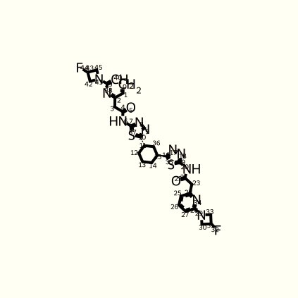 C=C/C(CC(=O)Nc1nnc([C@H]2CCC[C@H](c3nnc(NC(=O)Cc4cccc(N5CC(F)C5)n4)s3)C2)s1)=N\C(=C)N1CC(F)C1